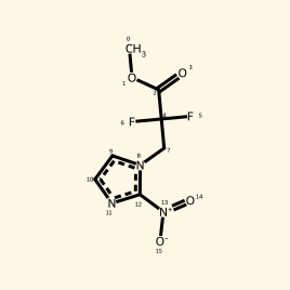 COC(=O)C(F)(F)Cn1ccnc1[N+](=O)[O-]